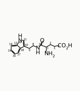 NC(CCC(=O)O)C(=O)NCCc1c[nH]c2ccccc12